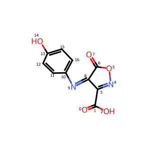 O=C(O)C1=NOC(=O)C1=Nc1ccc(O)cc1